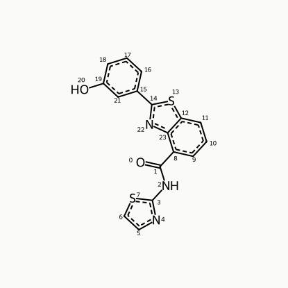 O=C(Nc1nccs1)c1cccc2sc(-c3cccc(O)c3)nc12